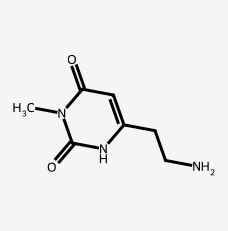 Cn1c(=O)cc(CCN)[nH]c1=O